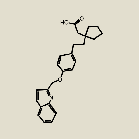 O=C(O)CC1(CCc2ccc(OCc3ccc4ccccc4n3)cc2)CCCC1